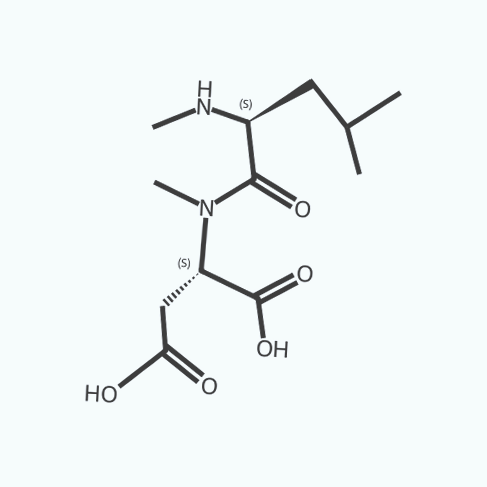 CN[C@@H](CC(C)C)C(=O)N(C)[C@@H](CC(=O)O)C(=O)O